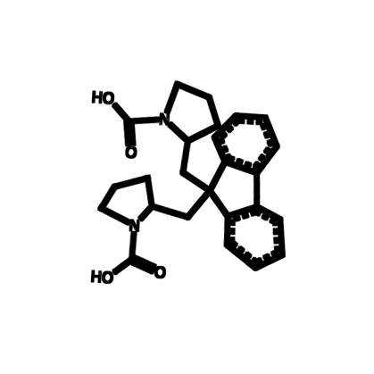 O=C(O)N1CCCC1CC1(CC2CCCN2C(=O)O)c2ccccc2-c2ccccc21